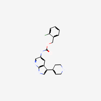 O=C(Nc1cnc2[nH]cc(C3=CCNCC3)c2c1)OCc1ccccc1Cl